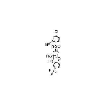 N#Cc1cc(Cl)ccc1S(=O)(=O)N1C[C@H](Oc2ccc(C(F)(F)F)cc2)[C@@](O)(CO)C1